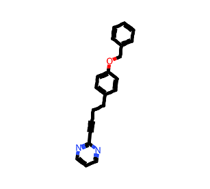 C(#Cc1ncccn1)CCc1ccc(OCc2ccccc2)cc1